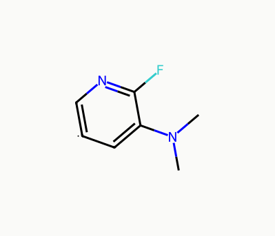 CN(C)c1c[c]cnc1F